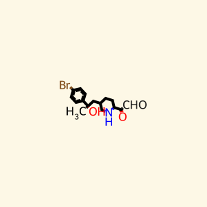 CC(O)(CC1CCC(C(=O)C=O)NC1)c1ccc(Br)cc1